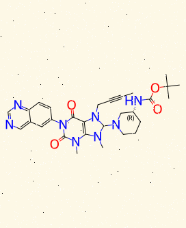 CC#CCN1c2c(n(C)c(=O)n(-c3ccc4ncncc4c3)c2=O)N(C)C1N1CCC[C@@H](NC(=O)OC(C)(C)C)C1